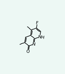 Cc1c(F)c[nH]c2nc(=O)c(C)cc1-2